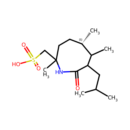 CC(C)CC1C(=O)NC(C)(CS(=O)(=O)O)CC[C@H](C)C1C